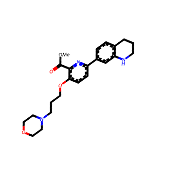 COC(=O)c1nc(-c2ccc3c(c2)NCCC3)ccc1OCCCN1CCOCC1